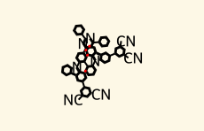 N#Cc1cc(C#N)cc(-c2ccc3c(c2)c2ccccc2n3-c2ccccc2-c2cc(-c3cc(-c4ccccc4)nc(-c4ccccc4)n3)ccc2-n2c3ccccc3c3cc(-c4cc(C#N)cc(C#N)c4)ccc32)c1